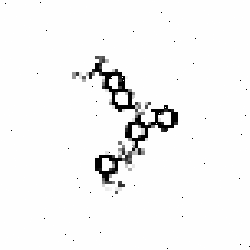 N=C(N)c1ccc2cc(Oc3ccc(NS(=O)(=O)c4cccc(C(=O)O)c4)cc3-c3ccccc3C(=O)O)ccc2c1